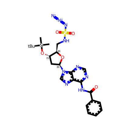 CC(C)(C)[Si](C)(C)O[C@H]1C[C@H](n2cnc3c(NC(=O)c4ccccc4)ncnc32)O[C@@H]1CNS(=O)(=O)N=[N+]=[N-]